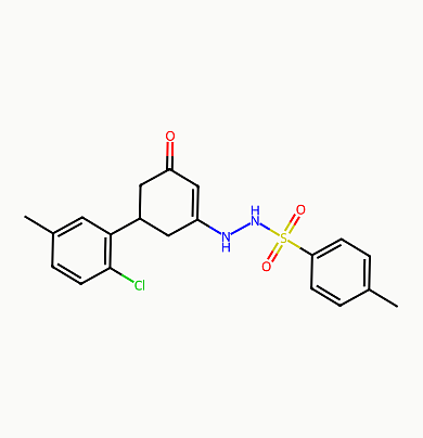 Cc1ccc(S(=O)(=O)NNC2=CC(=O)CC(c3cc(C)ccc3Cl)C2)cc1